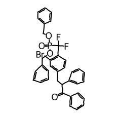 O=C(c1ccccc1)C(Cc1ccc(C(F)(F)P(=O)(OCc2ccccc2)OCc2ccccc2)c(Br)c1)c1ccccc1